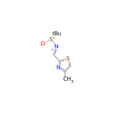 Cc1csc(/C=N/[S+]([O-])C(C)(C)C)n1